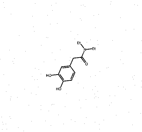 CCN(CC)C(=O)Cc1ccc(O)c(O)c1